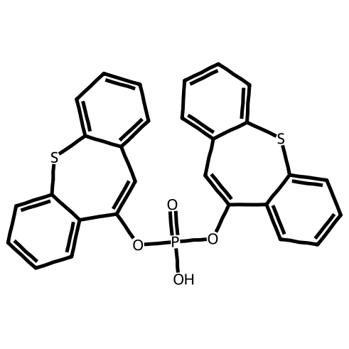 O=P(O)(OC1=Cc2ccccc2Sc2ccccc21)OC1=Cc2ccccc2Sc2ccccc21